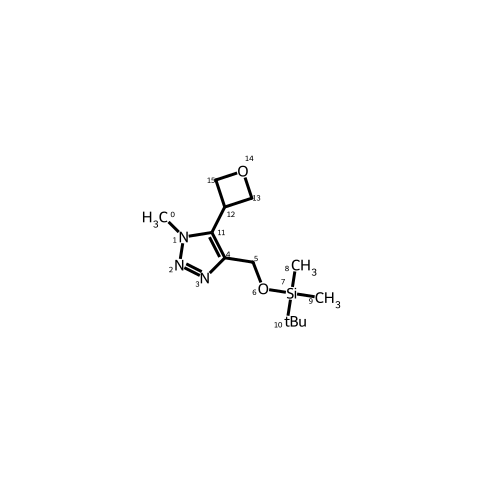 Cn1nnc(CO[Si](C)(C)C(C)(C)C)c1C1COC1